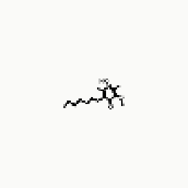 CCCCCCCc1c(C)n(O)c(C)c(OC)c1=O